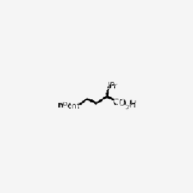 CCCCCCCC(C(=O)O)C(C)C